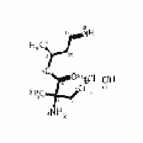 CCC(C)(N)C(=O)O[C@@H](C)CC=N.Cl.Cl